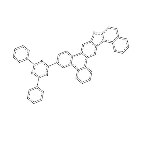 c1ccc(-c2nc(-c3ccccc3)nc(-c3ccc4c(c3)c3ccccc3c3cc5c(cc43)oc3ccc4ccccc4c35)n2)cc1